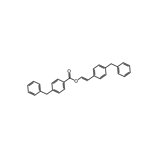 O=C(OC=Cc1ccc(Cc2ccccc2)cc1)c1ccc(Cc2ccccc2)cc1